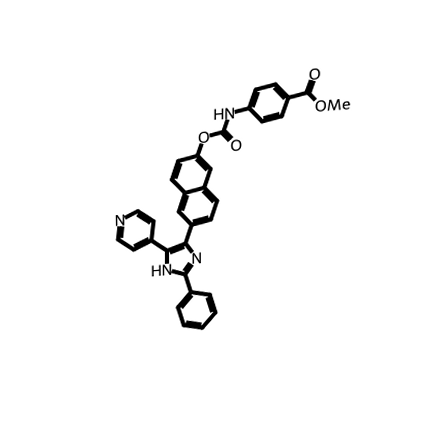 COC(=O)c1ccc(NC(=O)Oc2ccc3cc(-c4nc(-c5ccccc5)[nH]c4-c4ccncc4)ccc3c2)cc1